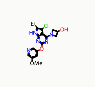 CCc1[nH]c2nc(Oc3cncc(OC)c3)nc(N3CC(O)C3)c2c1Cl